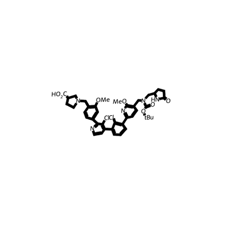 COc1cc(-c2nccc(-c3cccc(-c4ccc(CN(CC5CCC(=O)N5)C(=O)OC(C)(C)C)c(OC)n4)c3Cl)c2Cl)ccc1CN1CCC(C(=O)O)C1